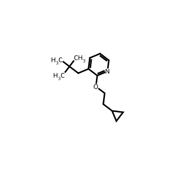 CC(C)(C)Cc1cccnc1OCCC1CC1